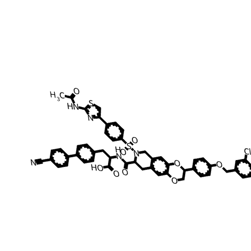 CC(=O)Nc1nc(-c2ccc(S(=O)(=O)N3Cc4cc5c(cc4CC3C(=O)NC(Cc3ccc(-c4ccc(C#N)cc4)cc3)C(=O)O)OCC(c3ccc(OCc4ccc(Cl)c(Cl)c4)cc3)O5)cc2)cs1